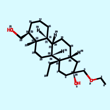 CCOC[C@@]1(O)CC[C@@]2(CC)[C@H](CC[C@H]3[C@@H]4CCC[C@H](CO)[C@@]4(C)CC[C@@H]32)C1